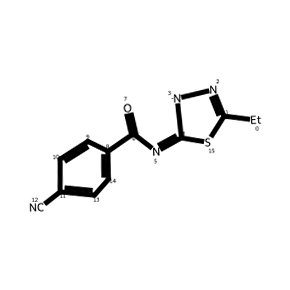 CCC1=N[N]C(=NC(=O)c2ccc(C#N)cc2)S1